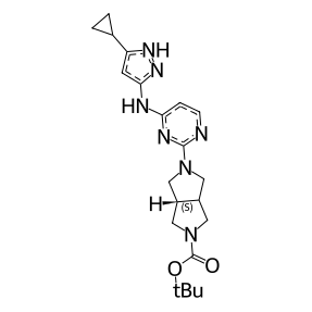 CC(C)(C)OC(=O)N1CC2CN(c3nccc(Nc4cc(C5CC5)[nH]n4)n3)C[C@H]2C1